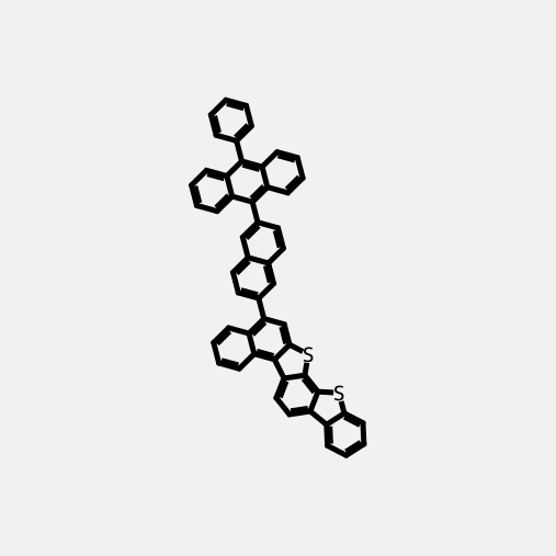 c1ccc(-c2c3ccccc3c(-c3ccc4cc(-c5cc6sc7c(ccc8c9ccccc9sc87)c6c6ccccc56)ccc4c3)c3ccccc23)cc1